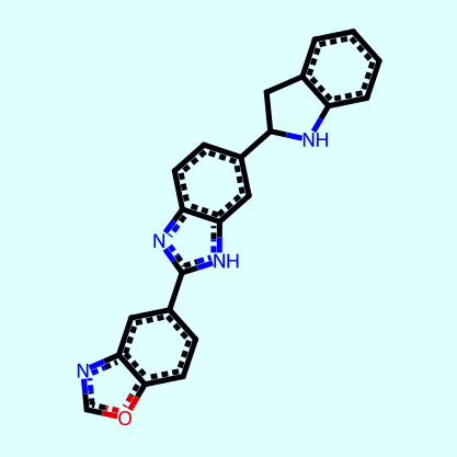 c1ccc2c(c1)CC(c1ccc3nc(-c4ccc5ocnc5c4)[nH]c3c1)N2